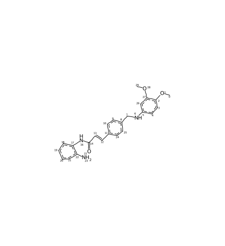 COc1ccc(NCc2ccc(C=CC(=O)Nc3ccccc3N)cc2)cc1OC